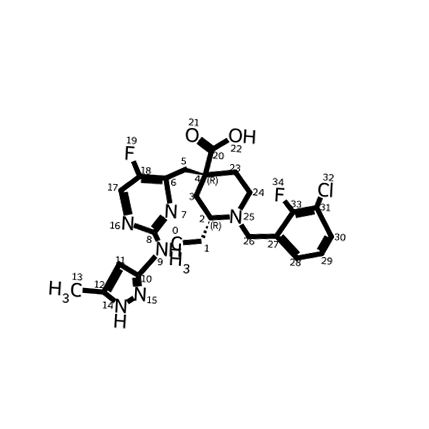 CC[C@@H]1C[C@](Cc2nc(Nc3cc(C)[nH]n3)ncc2F)(C(=O)O)CCN1Cc1cccc(Cl)c1F